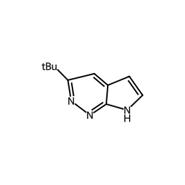 CC(C)(C)c1cc2cc[nH]c2nn1